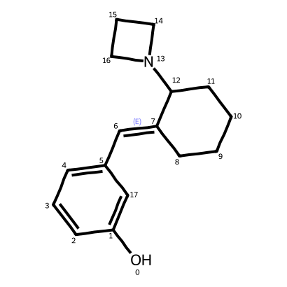 Oc1cccc(/C=C2\CCCCC2N2CCC2)c1